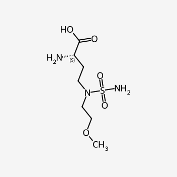 COCCN(CC[C@H](N)C(=O)O)S(N)(=O)=O